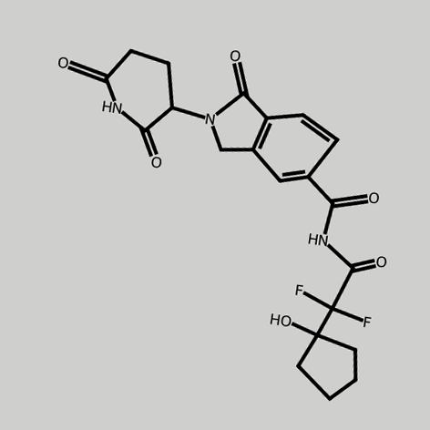 O=C1CCC(N2Cc3cc(C(=O)NC(=O)C(F)(F)C4(O)CCCC4)ccc3C2=O)C(=O)N1